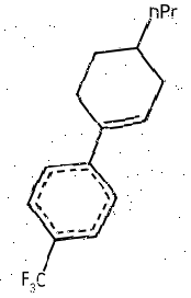 CCCC1CC=C(c2ccc(C(F)(F)F)cc2)CC1